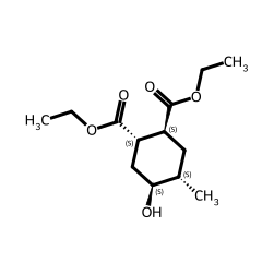 CCOC(=O)[C@H]1C[C@H](C)[C@@H](O)C[C@@H]1C(=O)OCC